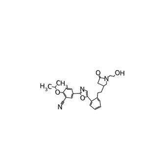 CC(C)Oc1ccc(-c2ncc(-c3ccccc3CCC3CC(=O)N(CCO)C3)o2)cc1C#N